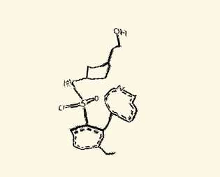 Cc1cccc(S(=O)(=O)NC2CC(CO)C2)c1-c1cccnc1